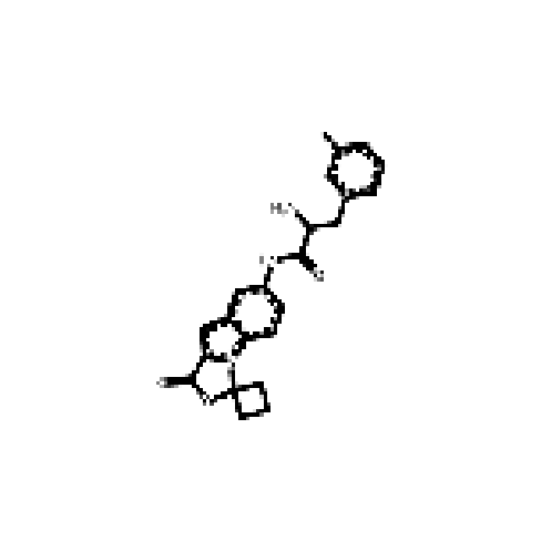 NC(Cc1cccc(F)c1)C(=O)Nc1ccc2c(c1)cc1n2C2(CCC2)OC1=O